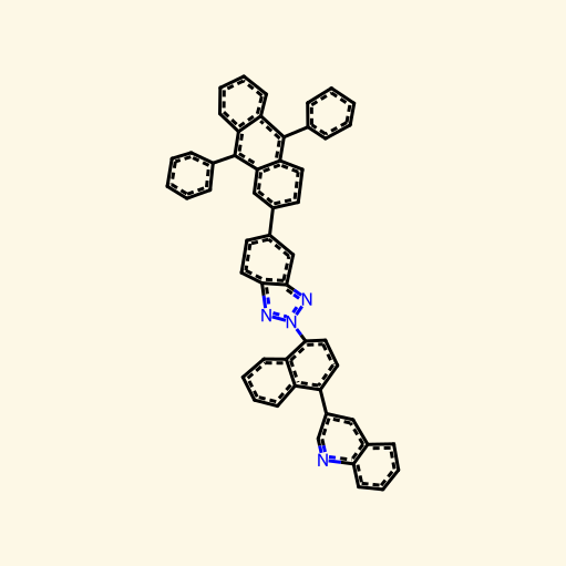 c1ccc(-c2c3ccccc3c(-c3ccccc3)c3cc(-c4ccc5nn(-c6ccc(-c7cnc8ccccc8c7)c7ccccc67)nc5c4)ccc23)cc1